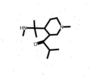 CNC(C)(C)C1CCN(C)CC1C(=O)C(C)C